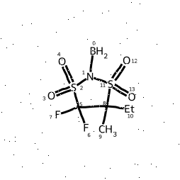 BN1S(=O)(=O)C(F)(F)C(C)(CC)S1(=O)=O